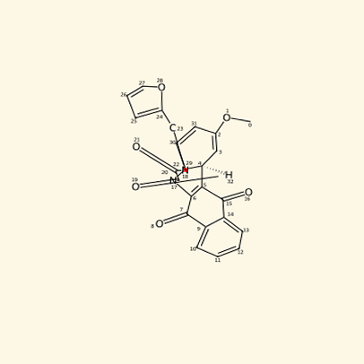 COC1=C[C@H]2C3=C(C(=O)c4ccccc4C3=O)N3C(=O)C(=O)N(Cc4ccco4)[C@]23C=C1